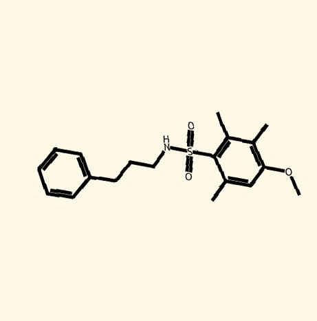 COc1cc(C)c(S(=O)(=O)NCCCc2ccccc2)c(C)c1C